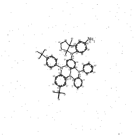 CC(C)(C)c1ccc(N2c3ccc(C(C)(C)C)cc3B3c4ccccc4N(c4ccccc4)c4cc(N5c6ccc(N)cc6C6(C)CCCC56C)cc2c43)cc1